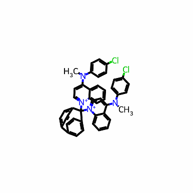 CN(c1ccc(Cl)cc1)c1cc[n+](C2([n+]3ccc(N(C)c4ccc(Cl)cc4)c4ccccc43)c3ccc(cc3)-c3ccc2cc3)c2ccccc12